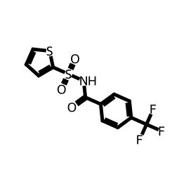 O=C(NS(=O)(=O)c1cccs1)c1ccc(C(F)(F)F)cc1